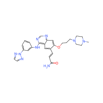 CN1CCN(CCCOc2cc3ncnc(Nc4cccc(-n5nccn5)c4)c3cc2C=CC(N)=O)CC1